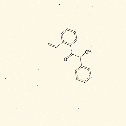 C=Cc1ccccc1C(=O)C(O)c1ccccc1